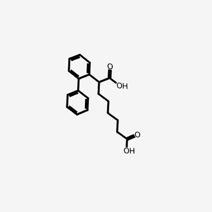 O=C(O)CCCCCC(C(=O)O)c1ccccc1-c1ccccc1